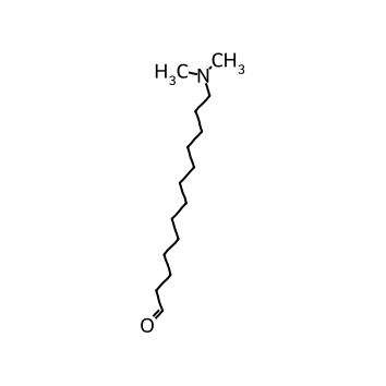 CN(C)CCCCCCCCCCCCC=O